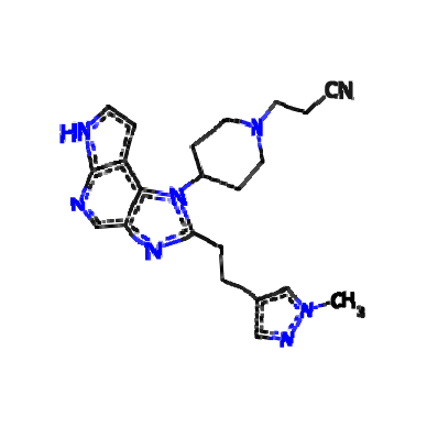 Cn1cc(CCc2nc3cnc4[nH]ccc4c3n2C2CCN(CCC#N)CC2)cn1